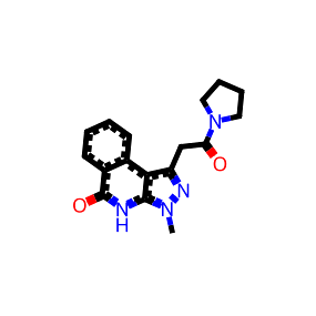 Cn1nc(CC(=O)N2CCCC2)c2c3ccccc3c(=O)[nH]c21